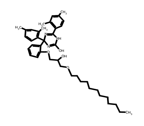 CCCCCCCCCCCCOCC(O)COc1ccccc1C1(c2ccc(C)cc2C)N=C(O)NC(c2ccc(C)cc2C)=N1